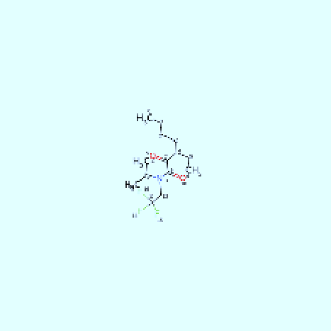 CCCCC(CC)C(=O)C(=O)N(CC(F)(F)F)C(C)C